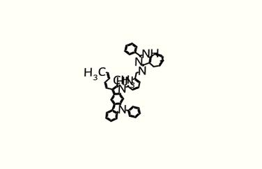 C/C=C\C=C/c1c(C)n(C2C=CC=C(C/N=C(\N=C(/N)c3ccccc3)C3=CC=CC=CC3)N2)c2cc3c(cc12)c1ccccc1n3-c1ccccc1